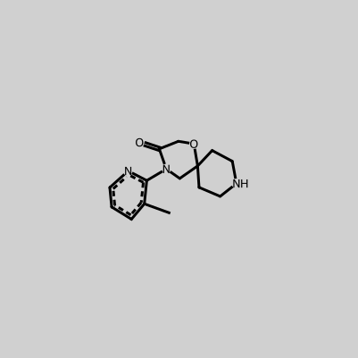 Cc1cccnc1N1CC2(CCNCC2)OCC1=O